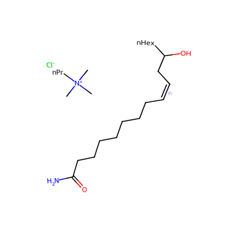 CCCCCCC(O)C/C=C\CCCCCCCC(N)=O.CCC[N+](C)(C)C.[Cl-]